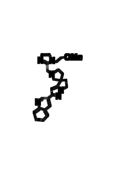 COCCn1ccnc1CN1CCC2(CCn3nc(-c4cnc5ccccc5c4)cc32)C1